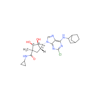 CC1(C(=O)NC2CC2)C[C@H]2[C@@H](n3cnc4c(NC5CC6CCC5C6)nc(Cl)nc43)[C@@]2(O)[C@@H]1O